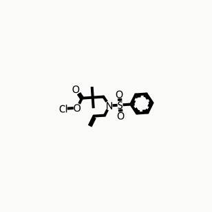 C=CCN(CC(C)(C)C(=O)OCl)S(=O)(=O)c1ccccc1